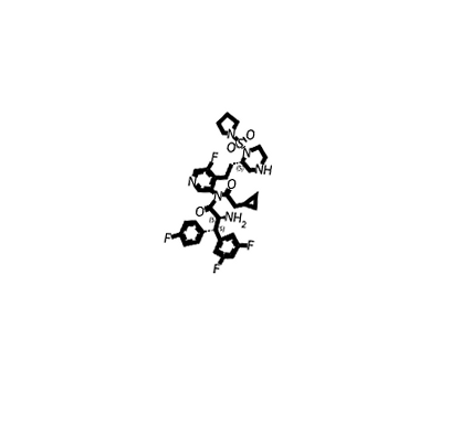 N[C@H](C(=O)N(C(=O)CC1CC1)c1cncc(F)c1CC[C@H]1CNCCN1S(=O)(=O)N1CCCC1)[C@@H](c1ccc(F)cc1)c1cc(F)cc(F)c1